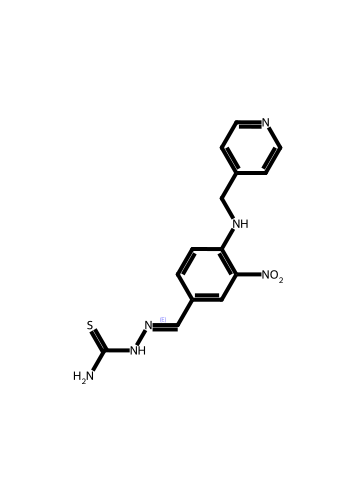 NC(=S)N/N=C/c1ccc(NCc2ccncc2)c([N+](=O)[O-])c1